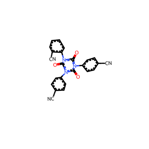 N#Cc1ccc(-n2c(=O)n(-c3ccc(C#N)cc3)c(=O)n(-c3ccccc3C#N)c2=O)cc1